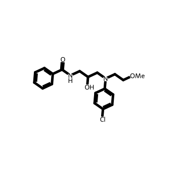 COCCN(CC(O)CNC(=O)c1ccccc1)c1ccc(Cl)cc1